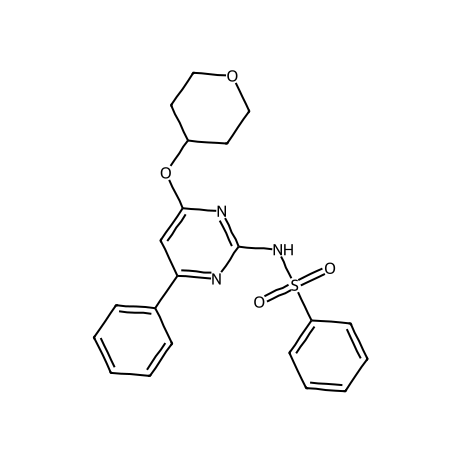 O=S(=O)(Nc1nc(OC2CCOCC2)cc(-c2ccccc2)n1)c1ccccc1